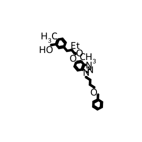 CCC(Cc1ccc(C)c(CO)c1)C(=O)Oc1ccc2c(nnn2CCCCOCc2ccccc2)c1C